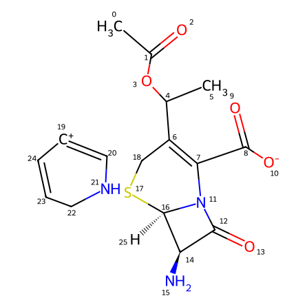 CC(=O)OC(C)C1=C(C(=O)[O-])N2C(=O)[C@@H](N)[C@H]2SC1.[C+]1=CNCC=C1